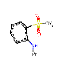 CC(C)Nc1ccccc1S(C)(=O)=O